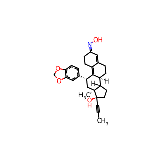 CC#C[C@@]1(O)CC[C@H]2[C@@H]3CCC4=C/C(=N\O)CCC4=C3[C@@H](c3ccc4c(c3)OCO4)C[C@@]21C